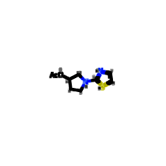 CC(=O)OC1CCN(c2nccs2)C1